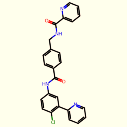 O=C(Nc1ccc(Cl)c(-c2ccccn2)c1)c1ccc(CNC(=O)c2ccccn2)cc1